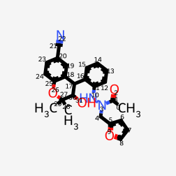 CC(=O)N(Cc1ccco1)Nc1ccccc1C1c2cc(C#N)ccc2OC(C)(C)C1O